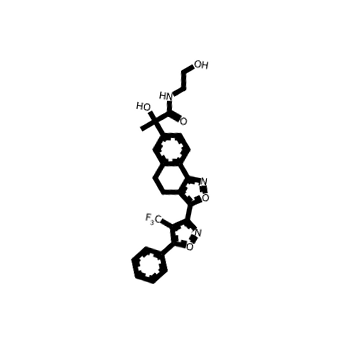 CC(O)(C(=O)NCCO)c1ccc2c(c1)CCc1c-2noc1-c1noc(-c2ccccc2)c1C(F)(F)F